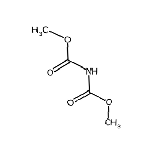 COC(=O)NC(=O)OC